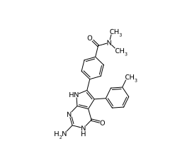 Cc1cccc(-c2c(-c3ccc(C(=O)N(C)C)cc3)[nH]c3nc(N)[nH]c(=O)c23)c1